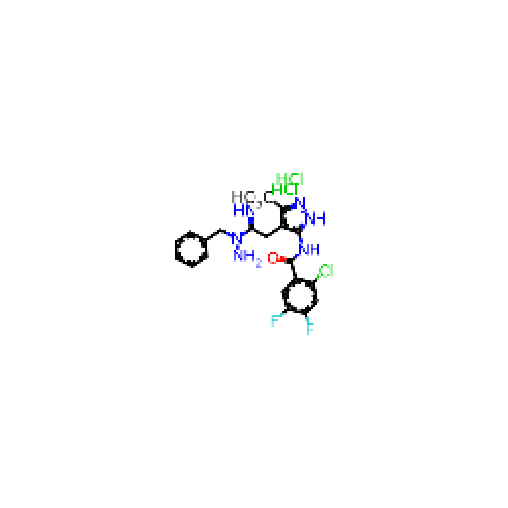 Cl.Cl.N=C(Cc1c(C(=O)O)n[nH]c1NC(=O)c1cc(F)c(F)cc1Cl)N(N)Cc1ccccc1